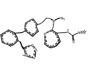 CCCN(Cc1ccc(-c2ccccc2-c2nnn[nH]2)cc1)c1ncccc1NC(=O)NC